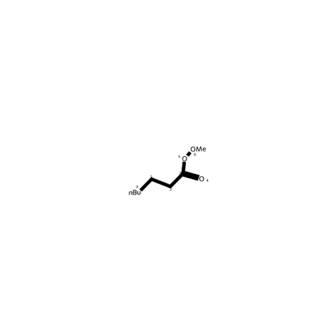 CCCCCCC(=O)OOC